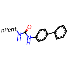 CCCCCNC(=O)Nc1ccc(-c2ccccc2)cc1